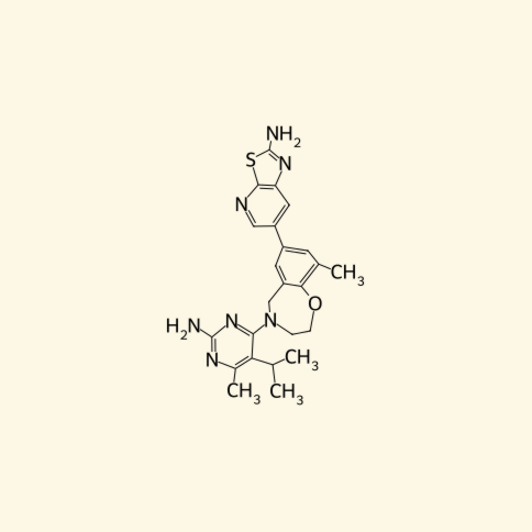 Cc1cc(-c2cnc3sc(N)nc3c2)cc2c1OCCN(c1nc(N)nc(C)c1C(C)C)C2